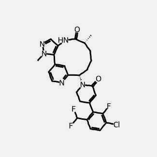 C[C@@H]1CCC[C@H](N2CCC(c3c(C(F)F)ccc(Cl)c3F)=CC2=O)c2cc(ccn2)-c2c(cnn2C)NC1=O